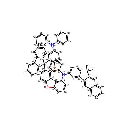 CC1(C)c2ccc(N(c3ccccc3)c3cccc4oc5ccc6c(c5c34)Sc3ccc(N(c4ccccc4)c4ccccc4)cc3C63c4ccccc4-c4ccccc43)cc2-c2cc3ccccc3cc21